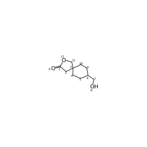 O=C1CC2(CCC(CO)CC2)CO1